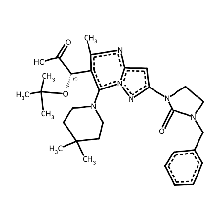 Cc1nc2cc(N3CCN(Cc4ccccc4)C3=O)nn2c(N2CCC(C)(C)CC2)c1[C@H](OC(C)(C)C)C(=O)O